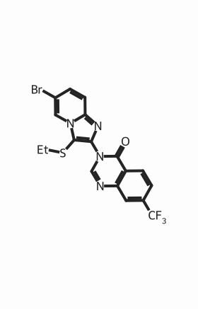 CCSc1c(-n2cnc3cc(C(F)(F)F)ccc3c2=O)nc2ccc(Br)cn12